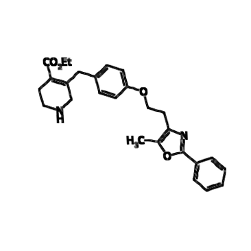 CCOC(=O)C1=C(Cc2ccc(OCCc3nc(-c4ccccc4)oc3C)cc2)CNCC1